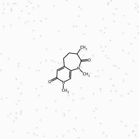 CC1CCc2cc(=O)n(C)cc2N(C)C1=O